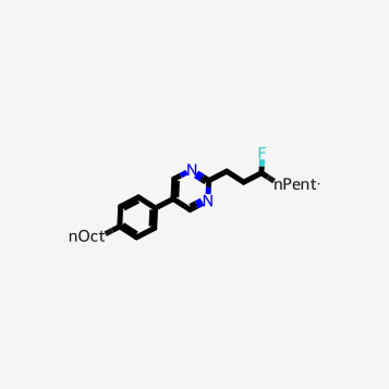 CCCC[CH]C(F)CCc1ncc(-c2ccc(CCCCCCCC)cc2)cn1